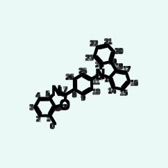 Cc1cccc2nc(-c3ccc(-n4c5ccccc5c5ccccc54)cc3)oc12